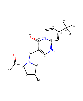 CC(=O)[C@H]1C[C@H](C)CN1Cc1cnc2cc(C(C)(C)C)ccn2c1=O